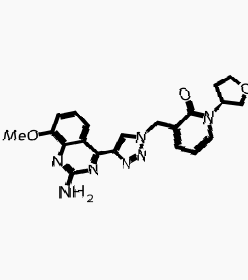 COc1cccc2c(-c3cn(Cc4cccn([C@H]5CCOC5)c4=O)nn3)nc(N)nc12